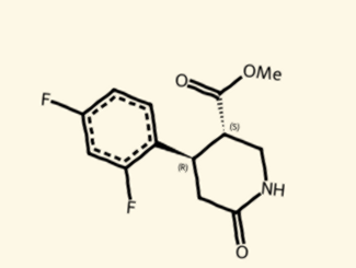 COC(=O)[C@@H]1CNC(=O)C[C@H]1c1ccc(F)cc1F